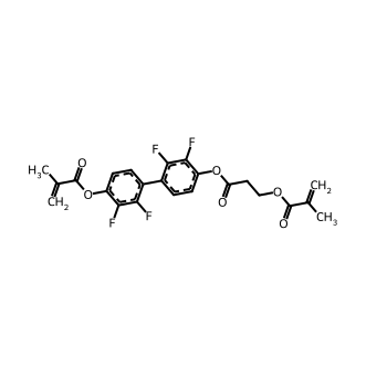 C=C(C)C(=O)OCCC(=O)Oc1ccc(-c2ccc(OC(=O)C(=C)C)c(F)c2F)c(F)c1F